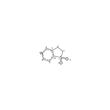 O=S1(=O)CCc2cnccc21